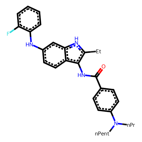 CCCCCN(CCC)c1ccc(C(=O)Nc2c(CC)[nH]c3cc(Nc4ccccc4F)ccc23)cc1